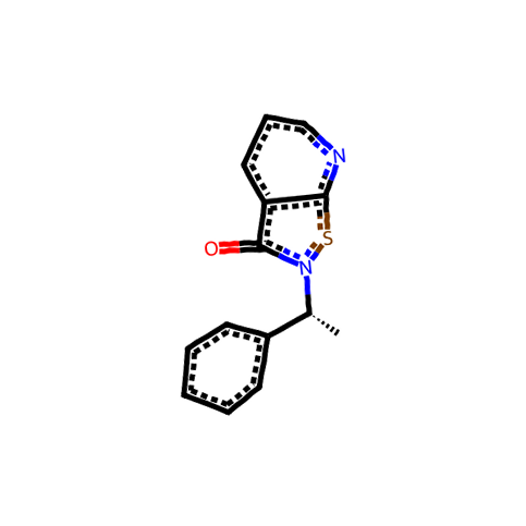 C[C@H](c1ccccc1)n1sc2ncccc2c1=O